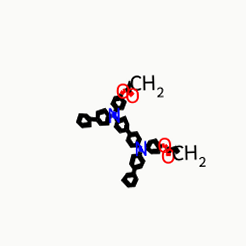 C=CC(=O)Oc1ccc(N(c2ccc(-c3ccccc3)cc2)c2ccc(-c3ccc(N(c4ccc(OC(=O)C=C)cc4)c4ccc(-c5ccccc5)cc4)cc3)cc2)cc1